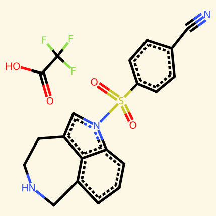 N#Cc1ccc(S(=O)(=O)n2cc3c4c(cccc42)CNCC3)cc1.O=C(O)C(F)(F)F